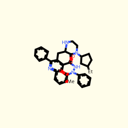 CCC1CCC(N2CCNC(Cc3c(-c4ccccc4)nc4ccccc4c3C(=O)NN(C(=O)OC)c3ccccc3)C2=O)C1